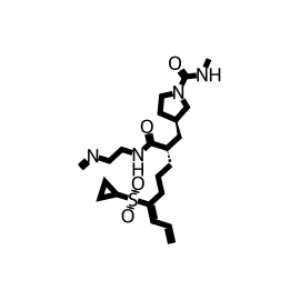 C=C/C=C(\CCC[C@@H](C[C@H]1CCN(C(=O)NC)C1)C(=O)NCCN=C)S(=O)(=O)C1CC1